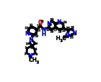 CN1CCC2(CC1)CN(c1cc(C(=O)Nc3cc4cc(-c5cncn5C)cnc4cn3)ccn1)C2